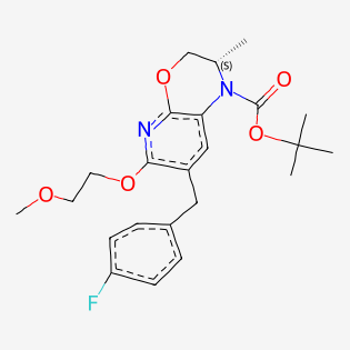 COCCOc1nc2c(cc1Cc1ccc(F)cc1)N(C(=O)OC(C)(C)C)[C@@H](C)CO2